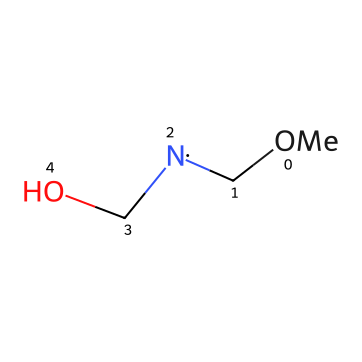 COC[N]CO